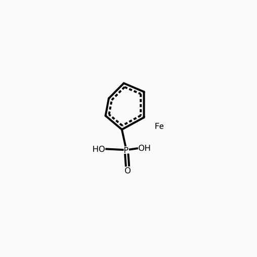 O=P(O)(O)c1ccccc1.[Fe]